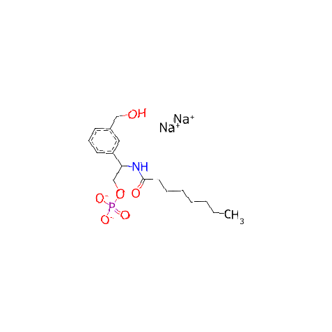 CCCCCCCC(=O)NC(COP(=O)([O-])[O-])c1cccc(CO)c1.[Na+].[Na+]